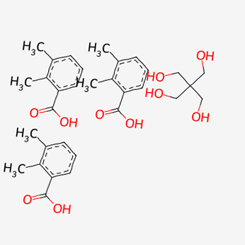 Cc1cccc(C(=O)O)c1C.Cc1cccc(C(=O)O)c1C.Cc1cccc(C(=O)O)c1C.OCC(CO)(CO)CO